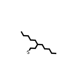 CCCCCC(CC[S])CCCCC